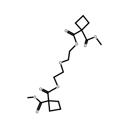 COC(=O)C1(C(=O)OCCOCCOC(=O)C2(C(=O)OC)CCC2)CCC1